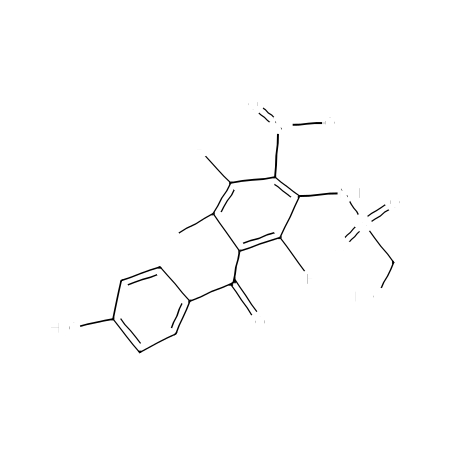 CCS(=O)(=O)Nc1c(F)c(C(=O)c2ccc(C)cc2)c(F)c(F)c1[N+](=O)[O-]